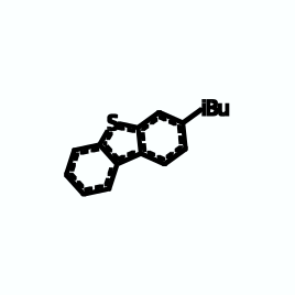 CCC(C)c1ccc2c(c1)sc1ccccc12